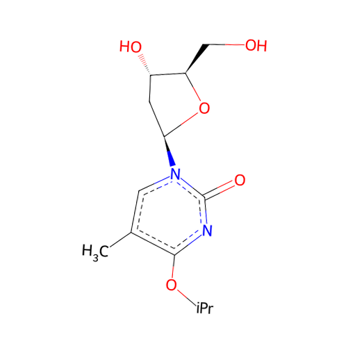 Cc1cn([C@H]2C[C@H](O)[C@@H](CO)O2)c(=O)nc1OC(C)C